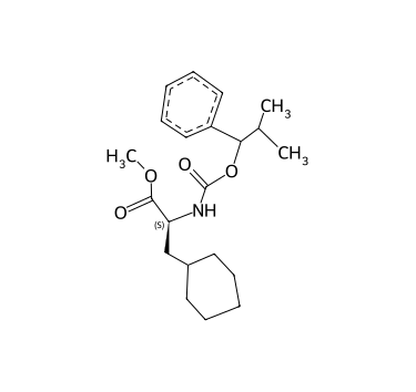 COC(=O)[C@H](CC1CCCCC1)NC(=O)OC(c1ccccc1)C(C)C